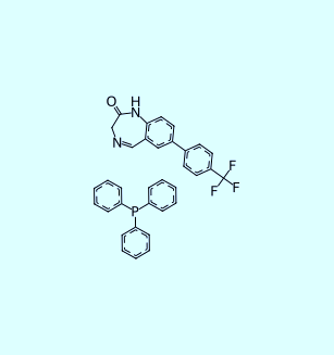 O=C1CN=Cc2cc(-c3ccc(C(F)(F)F)cc3)ccc2N1.c1ccc(P(c2ccccc2)c2ccccc2)cc1